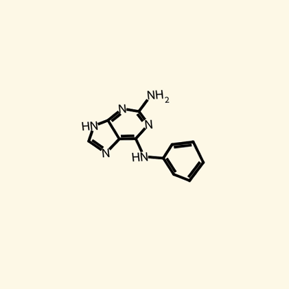 Nc1nc(Nc2ccccc2)c2nc[nH]c2n1